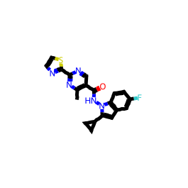 Cc1nc(-c2nccs2)ncc1C(=O)Nn1c(C2CC2)cc2cc(F)ccc21